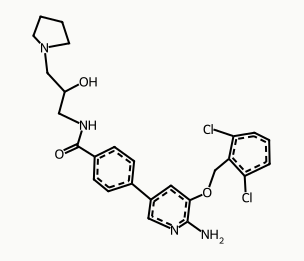 Nc1ncc(-c2ccc(C(=O)NCC(O)CN3CCCC3)cc2)cc1OCc1c(Cl)cccc1Cl